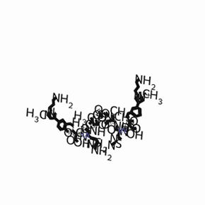 C[n+]1cc(-c2ccc3c(c2)CC[C@H]([C@H](O/N=C(\C(=O)N[C@@H]2C(=O)N(OS(=O)(=O)ON4C(=O)[C@@H](NC(=O)/C(=N\O[C@H](C(=O)O)[C@H]5CCc6cc(-c7cn(CCCN)[n+](C)c7)ccc6O5)c5csc(N)n5)C4(C)C)C2(C)C)c2csc(N)n2)C(=O)O)O3)cn1CCCN